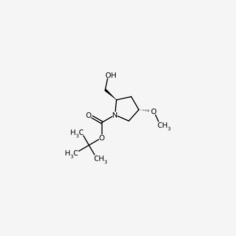 CO[C@H]1C[C@H](CO)N(C(=O)OC(C)(C)C)C1